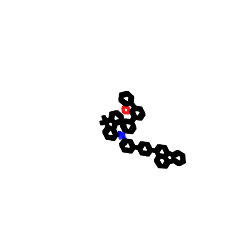 CC1(C)c2ccccc2-c2c(N(c3ccc(-c4cccc5c4oc4ccccc45)cc3)c3cccc(-c4ccc(-c5ccc6c7c(cccc57)-c5ccccc5-6)cc4)c3)cccc21